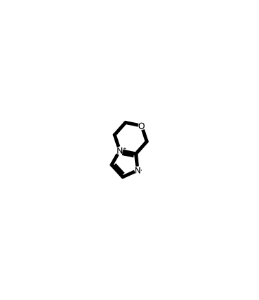 C1=C[N+]2=C(COCC2)[N]1